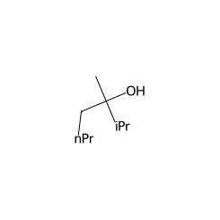 CCCCC(C)(O)C(C)C